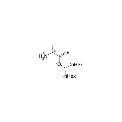 CCCCCCC(CCCCCC)OC(=O)C(C)N